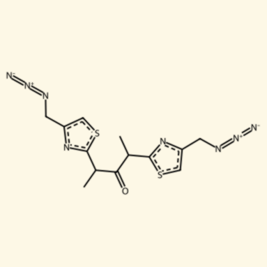 CC(C(=O)C(C)c1nc(CN=[N+]=[N-])cs1)c1nc(CN=[N+]=[N-])cs1